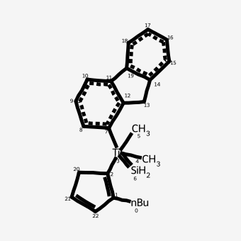 CCCCC1=[C]([Ti]([CH3])([CH3])(=[SiH2])[c]2cccc3c2Cc2ccccc2-3)CC=C1